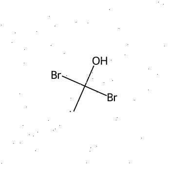 [CH2]C(O)(Br)Br